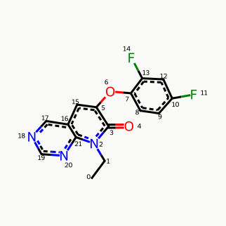 CCn1c(=O)c(Oc2ccc(F)cc2F)cc2cncnc21